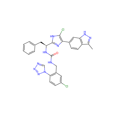 Cc1n[nH]c2cc(-c3nc([C@H](Cc4ccccc4)NC(=O)NCc4cc(Cl)ccc4-n4cnnn4)[nH]c3Cl)ccc12